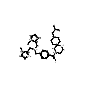 CC(C)CN1CCC2(CC1)CN(C(=O)c1ccc(CN(Cc3nccn3C)Cc3nccn3C)cc1)CCO2